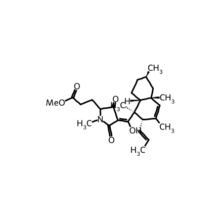 C/C=C/[C@H]1C(C)=C[C@@]2(C)C[C@H](C)CC[C@H]2[C@]1(C)/C(O)=C1\C(=O)C(CCC(=O)OC)N(C)C1=O